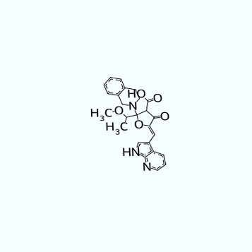 COC(C)C1(N2CCc3ccccc3C2)O/C(=C\c2c[nH]c3ncccc23)C(=O)C1C(=O)O